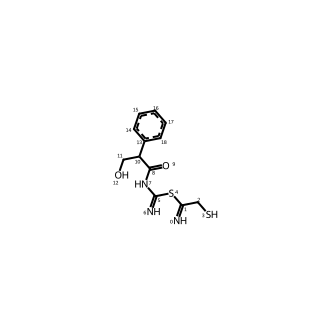 N=C(CS)SC(=N)NC(=O)C(CO)c1ccccc1